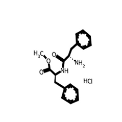 COC(=O)[C@H](Cc1ccccc1)NC(=O)[C@@H](N)Cc1ccccc1.Cl